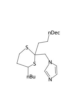 CCCCCCCCCCCCC1(Cn2ccnc2)SCCC(CCCC)S1